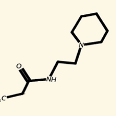 C[CH]C(=O)NCCN1CCCCC1